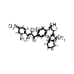 C/C(C(=O)c1ccc(N(C)Cc2nc3ccccc3n2C)cc1)=C(/C)c1ccc([N+](=O)[O-])cc1